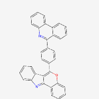 c1ccc2c3c(-c4ccc(-c5nc6ccccc6c6ccccc56)cc4)oc4ccccc4c-3nc2c1